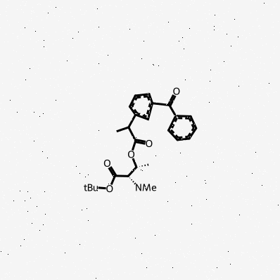 CN[C@H](C(=O)OC(C)(C)C)[C@@H](C)OC(=O)C(C)c1cccc(C(=O)c2ccccc2)c1